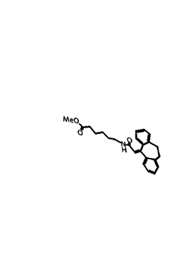 COC(=O)CCCCCNC(=O)C=C1c2ccccc2CCc2ccccc21